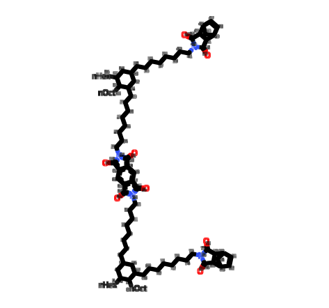 CCCCCCCCC1C(CCCCCC)CC(CCCCCCCCn2c(=O)c3cc4c(=O)n(CCCCCCCCC5CC(CCCCCCCCN6C(=O)C7C8C=CC(C8)C7C6=O)CC(CCCCCC)C5CCCCCCCC)c(=O)c4cc3c2=O)CC1CCCCCCCCN1C(=O)C2C3C=CC(C3)C2C1=O